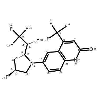 O=c1cc(C(F)(F)F)c2cc(N3C[C@@H](F)C[C@@H]3[C@@H](F)C(F)(F)F)ccc2[nH]1